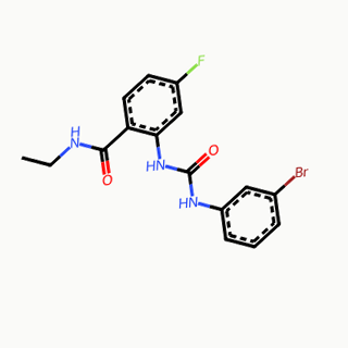 CCNC(=O)c1ccc(F)cc1NC(=O)Nc1cccc(Br)c1